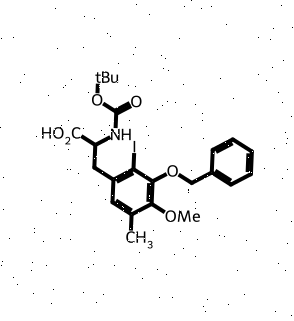 COc1c(C)cc(CC(NC(=O)OC(C)(C)C)C(=O)O)c(I)c1OCc1ccccc1